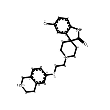 O=C1Nc2ccc(Cl)cc2C12CCN(CCOc1ccc3c(c1)CCNC3)CC2